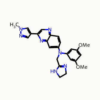 COc1cc(OC)cc(N(CC2=NCCN2)c2ccc3ncc(-c4cnn(C)c4)nc3c2)c1